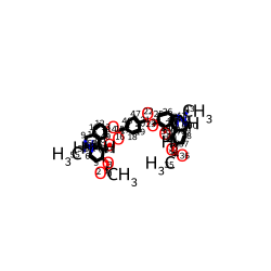 CC(=O)OC1C=CC2[C@H]3Cc4ccc(OC(=O)c5ccc(C(=O)Oc6ccc7c8c6O[C@H]6C(OC(C)=O)C=CC9[C@@H](C7)N(C)CC[C@@]896)cc5)c5c4[C@@]2(CCN3C)[C@H]1O5